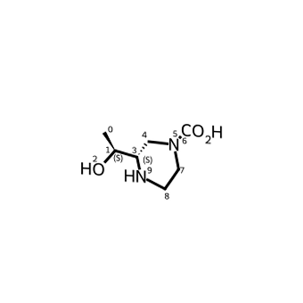 C[C@H](O)[C@@H]1CN(C(=O)O)CCN1